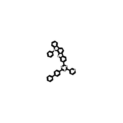 c1ccc(-c2ccc(-c3nc(-c4cccnc4)nc(-c4ccc5c(c4)oc4c5ccc5c6ccccc6n(-c6ccccc6)c54)n3)cc2)cc1